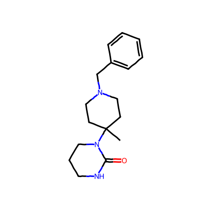 CC1(N2CCCNC2=O)CCN(Cc2ccccc2)CC1